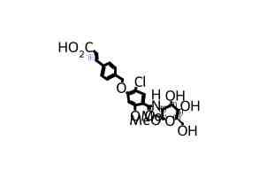 COc1cc(OCc2ccc(/C=C/C(=O)O)cc2)c(Cl)cc1C(=O)N[C@H]1[C@@H](OC)O[C@H](CO)[C@@H](O)[C@@H]1O